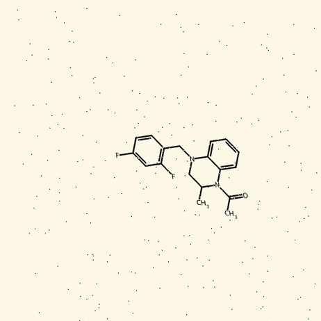 CC(=O)N1c2ccccc2N(Cc2ccc(F)cc2F)CC1C